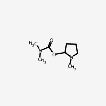 CN1CCC[C]1OC(=O)N(C)C